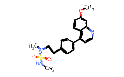 CNS(=O)(=O)N(C)CCc1ccc(-c2ccnc3cc(OC)ccc23)cc1